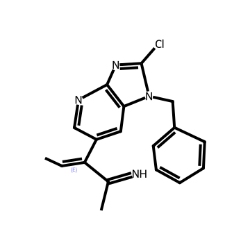 C/C=C(/C(C)=N)c1cnc2nc(Cl)n(Cc3ccccc3)c2c1